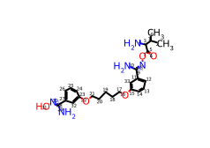 CC(C)C(N)C(=O)O/N=C(\N)c1cccc(OCCCCCOc2cccc(/C(N)=N/O)c2)c1